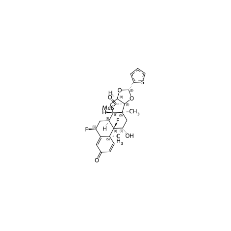 CSC(=O)[C@@]12O[C@@H](c3cccs3)O[C@@H]1C[C@H]1[C@@H]3C[C@H](F)C4=CC(=O)C=C[C@]4(C)[C@@]3(F)[C@@H](O)C[C@@]12C